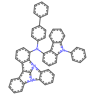 c1ccc(-c2ccc(N(c3cccc4c3c3ccccc3n4-c3ccccc3)c3cccc4c5c6ccccc6n6c7ccccc7n(c34)c56)cc2)cc1